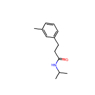 Cc1cccc(CCC(=O)NC(C)C)c1